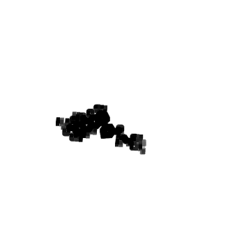 CN(C)CCNC(=O)c1cccc(-c2ccc(N=O)c3c2C[C@H]2C[C@H]4CC(N=O)=C(C(N)=O)C(=O)[C@@]4(N=O)C(O)=C2C3=O)c1